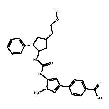 COCCC1C[C@@H](NC(=O)Nc2cc(-c3ccc(C(=O)O)cc3)nn2C)[C@H](c2ccccc2)C1